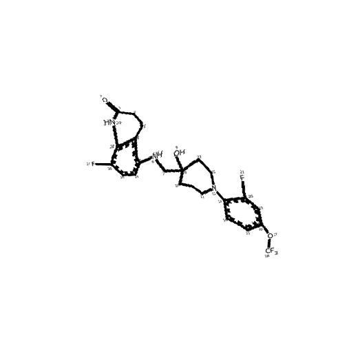 O=C1CCc2c(NCC3(O)CCN(c4ccc(OC(F)(F)F)cc4F)CC3)ccc(F)c2N1